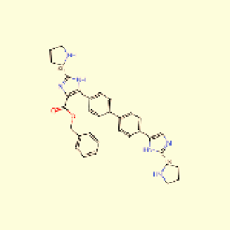 O=C(OCc1ccccc1)c1nc([C@@H]2CCCN2)[nH]c1-c1ccc(-c2ccc(-c3cnc([C@@H]4CCCN4)[nH]3)cc2)cc1